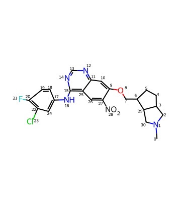 CN1CC2CCC(COc3cc4ncnc(Nc5ccc(F)c(Cl)c5)c4cc3[N+](=O)[O-])C2C1